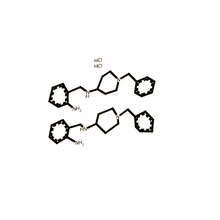 Cl.Cl.Nc1ccccc1CNC1CCN(Cc2ccccc2)CC1.Nc1ccccc1CNC1CCN(Cc2ccccc2)CC1